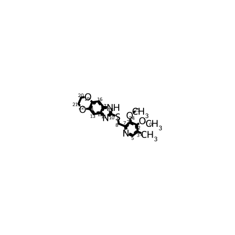 COc1c(C)cnc(CSc2nc3cc4c(cc3[nH]2)OCCO4)c1OC